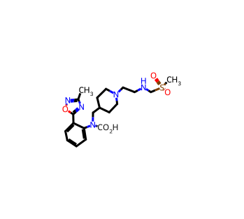 Cc1noc(-c2ccccc2N(CC2CCN(CCNCS(C)(=O)=O)CC2)C(=O)O)n1